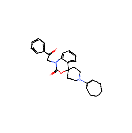 O=C(CN1C(=O)OC2(CCN(C3CCCCCC3)CC2)c2ccccc21)c1ccccc1